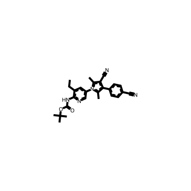 CCc1cc(-n2c(C)c(C#N)c(-c3ccc(C#N)cc3)c2C)cnc1NC(=O)OC(C)(C)C